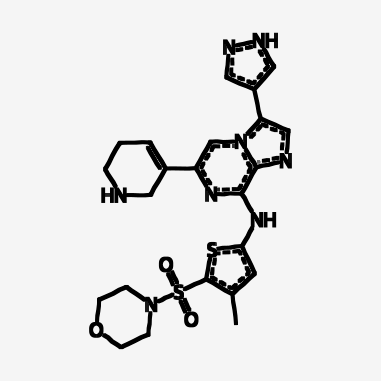 Cc1cc(Nc2nc(C3=CCCNC3)cn3c(-c4cn[nH]c4)cnc23)sc1S(=O)(=O)N1CCOCC1